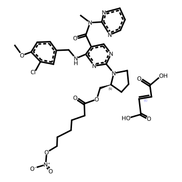 COc1ccc(CNc2nc(N3CCC[C@H]3COC(=O)CCCCCO[N+](=O)[O-])ncc2C(=O)N(C)c2ncccn2)cc1Cl.O=C(O)/C=C/C(=O)O